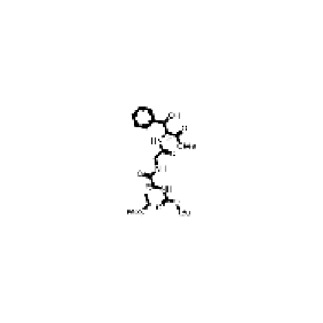 COC(=O)[C@@H](NC(=O)CNC(=O)[C@@H](CCSC)NC(=O)OC(C)(C)C)C(O)c1ccccc1